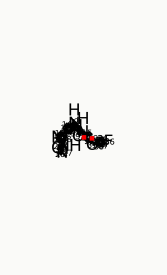 C=C(/C=C\C(=C/C)NC(=O)c1n[nH]c2ccc(-c3cncc(NC(=O)N(C)C)c3)cc12)Oc1ccc(F)cc1